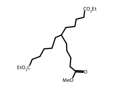 CCOC(=O)CCC[CH]C(CCCCCC(=O)OCC)CCCCC(=O)OC